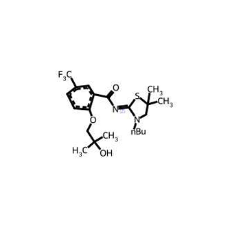 CCCCN1CC(C)(C)S/C1=N\C(=O)c1cc(C(F)(F)F)ccc1OCC(C)(C)O